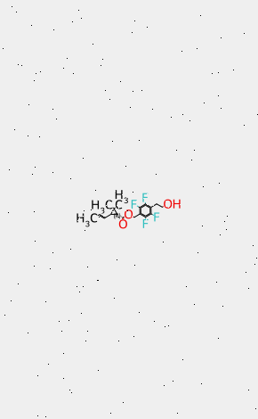 CC=CC1[C@@H](C(=O)OCc2c(F)c(F)c(CCO)c(F)c2F)C1(C)C